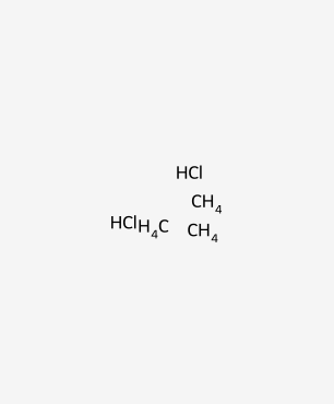 C.C.C.Cl.Cl